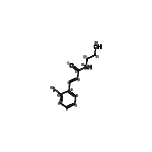 O=C(/C=C/c1ccccc1I)NCCO